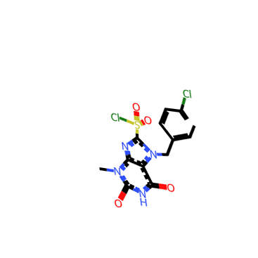 C=C(Cl)/C=C\C(=C/C)Cn1c(S(=O)(=O)Cl)nc2c1c(=O)[nH]c(=O)n2C